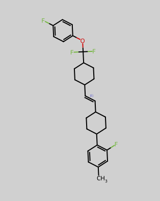 Cc1ccc(C2CCC(/C=C/C3CCC(C(F)(F)Oc4ccc(F)cc4)CC3)CC2)c(F)c1